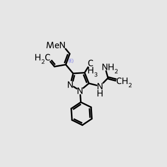 C=C/C(=C\NC)c1nn(-c2ccccc2)c(NC(=C)N)c1C